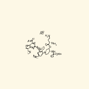 CCNc1nc(Nc2cc(C#N)cc(N3CC[C@@H](NC(=O)OC)[C@H](OC(=O)[C@@H](N)CCN)C3)c2Cl)nn2c(C#N)cnc12.Cl.Cl